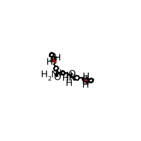 NC(=O)N(c1ccc(CNC(=O)NC2CCC(CCN3[C@@H]4CC[C@H]3c3ccccc34)CC2)cc1)C1CCC(CCN2[C@@H]3CC[C@H]2c2ccccc23)CC1